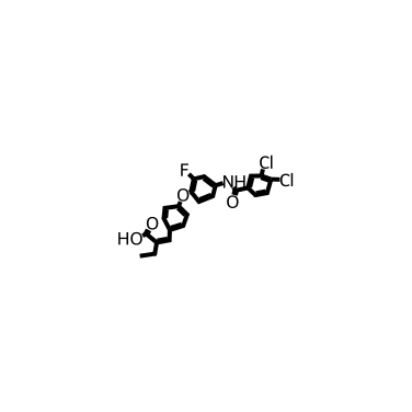 CCC(=Cc1ccc(Oc2ccc(NC(=O)c3ccc(Cl)c(Cl)c3)cc2F)cc1)C(=O)O